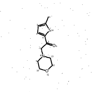 Cc1ccc(C(=O)CN2CCOCC2)s1